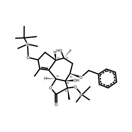 CC1=C2[C@@H]3OC(=O)[C@@](C)(O[Si](C)(C)C)[C@@]3(O)[C@H](OCc3ccccc3)C[C@](C)(O)[C@H]2CC1O[Si](C)(C)C(C)(C)C